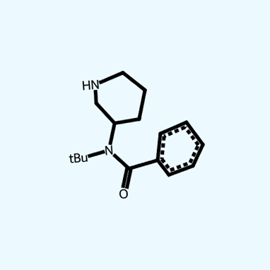 CC(C)(C)N(C(=O)c1ccccc1)C1CCCNC1